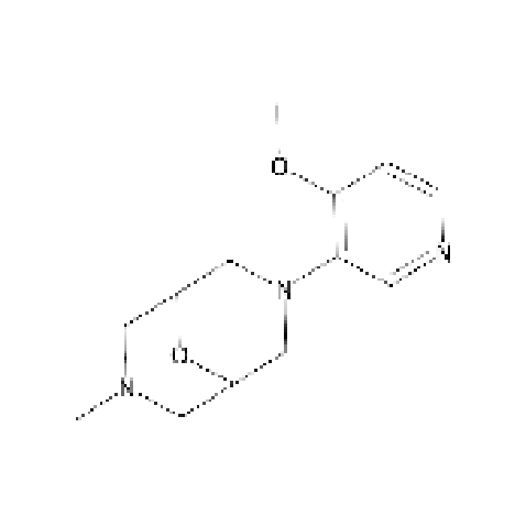 COc1ccncc1N1CC2CN(C)CC(C1)O2